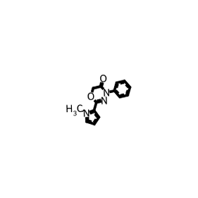 Cn1cccc1C1=NN(c2ccccc2)C(=O)CO1